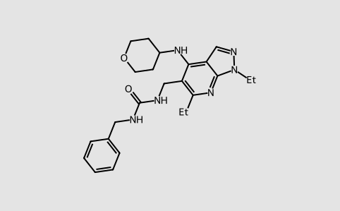 CCc1nc2c(cnn2CC)c(NC2CCOCC2)c1CNC(=O)NCc1ccccc1